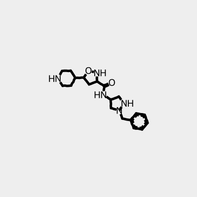 O=C(NC1CNN(Cc2ccccc2)C1)C1CC(C2CCNCC2)ON1